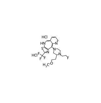 COCCC1CN(C2=c3ncccc3=CNc3sc(C(F)(F)F)nc32)CCN1CCF.Cl.Cl